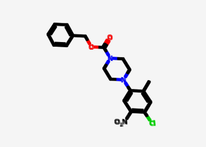 Cc1cc(Cl)c([N+](=O)[O-])cc1N1CCN(C(=O)OCc2ccccc2)CC1